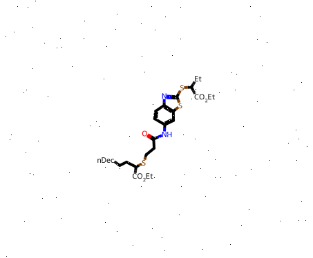 CCCCCCCCCCCCC(SCCC(=O)Nc1ccc2nc(SC(CC)C(=O)OCC)sc2c1)C(=O)OCC